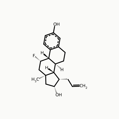 C=CC[C@H]1[C@H]2[C@@H]3CCc4cc(O)ccc4[C@H]3[C@@H](F)C[C@]2(C)C[C@H]1O